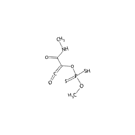 CNC(=O)C(=C=O)OP(=S)(S)OC